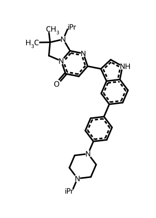 CC(C)N1CCN(c2ccc(-c3ccc4[nH]cc(-c5cc(=O)n6c(n5)N(C(C)C)C(C)(C)C6)c4c3)cc2)CC1